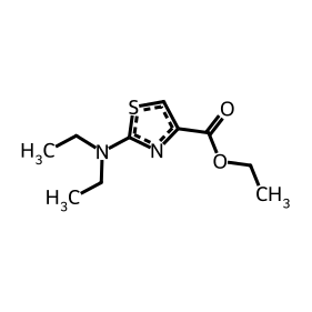 CCOC(=O)c1csc(N(CC)CC)n1